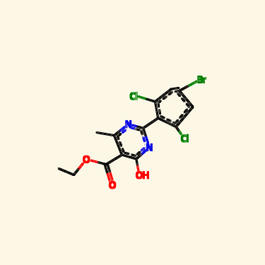 CCOC(=O)c1c(C)nc(-c2c(Cl)cc(Br)cc2Cl)nc1O